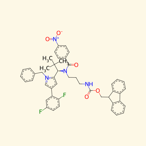 CC(C)(C)[C@H](c1cc(-c2cc(F)ccc2F)cn1Cc1ccccc1)N(CCCNC(=O)OCC1c2ccccc2-c2ccccc21)C(=O)c1ccc([N+](=O)[O-])cc1